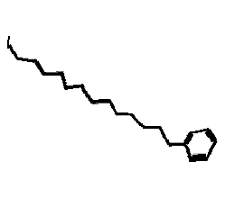 ICCCCCCCCCCCCCc1ccccc1